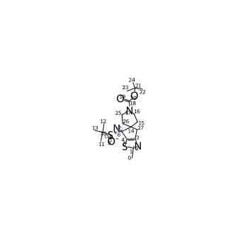 Cc1nc2c(s1)/C(=N\[S@+]([O-])C(C)(C)C)C1(CCN(C(=O)OC(C)(C)C)CC1)C2